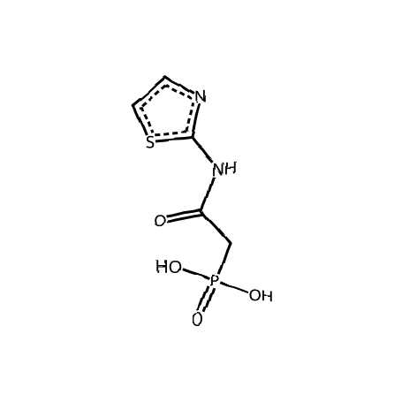 O=C(CP(=O)(O)O)Nc1nccs1